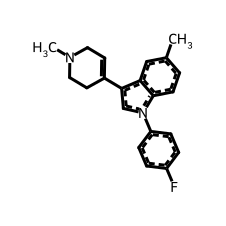 Cc1ccc2c(c1)c(C1=CCN(C)CC1)cn2-c1ccc(F)cc1